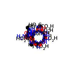 CCCCCCCCCC(=O)N[C@@H](Cc1c[nH]c2ccccc12)C(=O)N[C@@H](CC(N)=O)C(=O)N[C@@H](CC(=O)O)C(=O)N[C@@H]1C(=O)NCC(=O)N[C@@H](CCCN)C(=O)N[C@@H](CC(=O)O)C(=O)N[C@H](C)C(=O)N[C@@H](CC(=O)O)C(=O)NCC(=O)N[C@H](CO)C(=O)N[C@@H]([C@H](C)CC(=O)O)C(=O)N[C@@H](CC(=O)c2ccccc2N)C(=O)O[C@@H]1C.O=C(O)CC(O)(CC(=O)O)C(=O)O